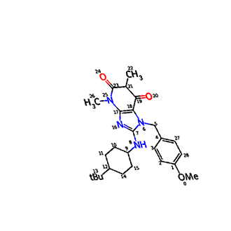 COc1ccc(Cn2c(NC3CCC(C(C)(C)C)CC3)nc3c2C(=O)C(C)C(=O)N3C)cc1